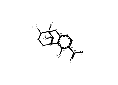 CN1CC[C@]23CCCC[C@@]2(O)[C@H]1Cc1ccc(C(N)=O)c(O)c13